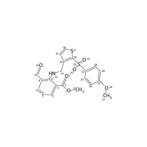 COC(=O)c1cccc(C=O)c1NCc1ccsc1S(=O)(=O)c1ccc(OC)cc1